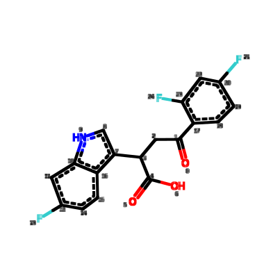 O=C(CC(C(=O)O)c1c[nH]c2cc(F)ccc12)c1ccc(F)cc1F